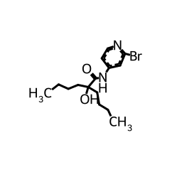 CCCCC(O)(CCCC)C(=O)Nc1ccnc(Br)c1